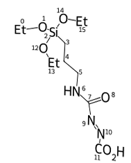 CCO[Si](CCCNC(=O)N=NC(=O)O)(OCC)OCC